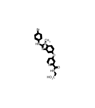 Cn1c(Nc2ccc(Br)cc2)nc2cc(Oc3ccnc(C(=O)NCC(=O)O)c3)ccc21